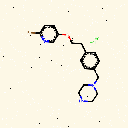 Brc1ccc(OCCc2ccc(CN3CCNCC3)cc2)cn1.Cl.Cl